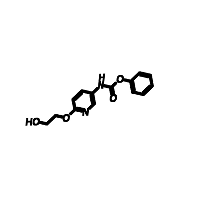 O=C(Nc1ccc(OCCO)nc1)Oc1ccccc1